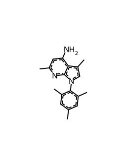 Cc1cc(C)c(-n2cc(C)c3c(N)cc(C)nc32)c(C)c1